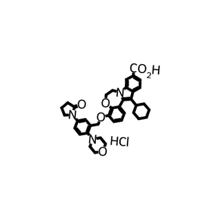 Cl.O=C(O)c1ccc2c(C3CCCCC3)c3n(c2c1)CCOc1c(OCc2cc(N4CCCC4=O)ccc2N2CCOCC2)cccc1-3